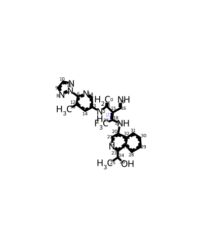 C=C(Nc1cnc(-n2nccn2)c(C)c1)/C(C=N)=C(/Nc1cnc(C(C)O)c2ccccc12)C(F)(F)F